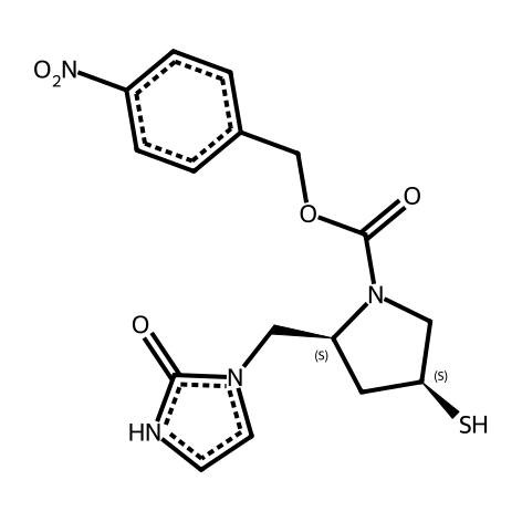 O=C(OCc1ccc([N+](=O)[O-])cc1)N1C[C@@H](S)C[C@H]1Cn1cc[nH]c1=O